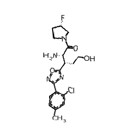 Cc1ccc(-c2noc([C@@H](CCO)[C@H](N)C(=O)N3CC[C@H](F)C3)n2)c(Cl)c1